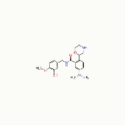 COc1ccc(CNC(=O)c2cc(N(C)C)ccc2C2CNCCO2)cc1O